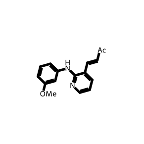 COc1cccc(Nc2ncccc2/C=C/C(C)=O)c1